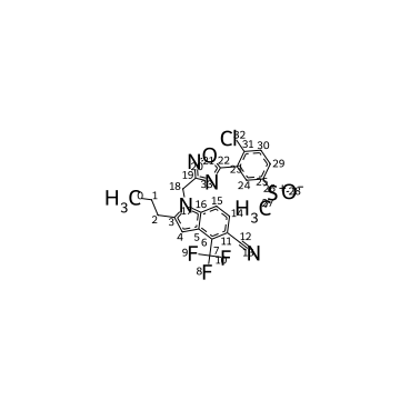 CCCc1cc2c(C(F)(F)F)c(C#N)ccc2n1Cc1noc(-c2cc([S+](C)[O-])ccc2Cl)n1